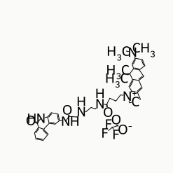 CN(C)c1ccc2c(c1)C(C)(C)c1cc3c(cc1=C2)CCC[N+]=3CCCC(=O)NCCCNCC(=O)Nc1ccc2[nH]c(=O)c3ccccc3c2c1.O=C([O-])C(F)(F)F